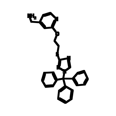 NCc1ccnc(OCCSc2ncn(C(c3ccccc3)(c3ccccc3)c3ccccc3)n2)c1